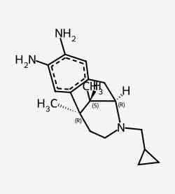 C[C@@H]1[C@H]2Cc3cc(N)c(N)cc3[C@]1(C)CCN2CC1CC1